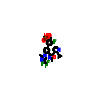 Cc1nc(-c2cc(-c3cc(F)c(CO)c(S(C)(=O)=O)c3)ccc2-n2cc(C(F)(F)F)nc2C)c(-c2cccnc2C2CC2)o1